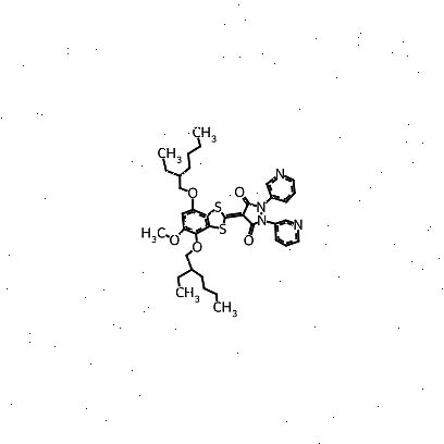 CCCCC(CC)COc1cc(OC)c(OCC(CC)CCCC)c2c1SC(=C1C(=O)N(c3cccnc3)N(c3cccnc3)C1=O)S2